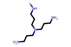 NCCCN(CCCN)CCCNI